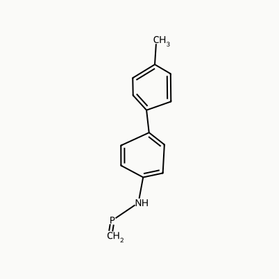 C=PNc1ccc(-c2ccc(C)cc2)cc1